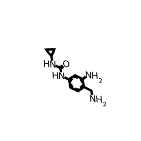 NCc1ccc(NC(=O)NC2CC2)cc1N